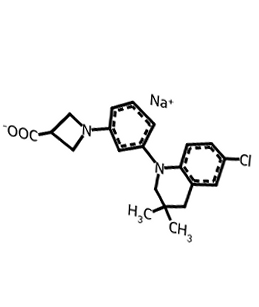 CC1(C)Cc2cc(Cl)ccc2N(c2cccc(N3CC(C(=O)[O-])C3)c2)C1.[Na+]